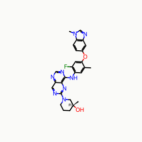 Cc1cc(Nc2ncnc3cnc(N4CCC[C@@](C)(O)C4)nc23)c(F)cc1Oc1ccc2c(c1)ncn2C